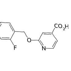 O=C(O)c1ccnc(OCc2ccccc2F)c1